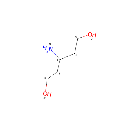 NC(CCO)CCO